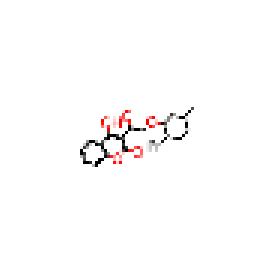 CC1CCC(C(C)C)C(OCC(=O)c2c(O)c3ccccc3oc2=O)C1